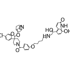 O=C(c1ccc(OCCCCCCNCC(O)c2ccc(O)c3[nH]c(=O)ccc23)cc1)N1CCC(C(=O)OC2CN3CCC2CC3)(c2ccc(Cl)cc2)CC1